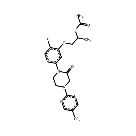 CC(COc1cc(N2CCN(c3ncc(C(F)(F)F)cn3)CC2=O)ncc1F)OC(N)=O